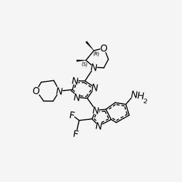 C[C@H]1OCCN(c2nc(N3CCOCC3)nc(-n3c(C(F)F)nc4ccc(N)cc43)n2)[C@H]1C